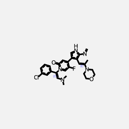 C=Nc1[nH]cc(-c2cc(=O)n(/C(=C\N(C)C)c3cccc(Cl)c3)cc2F)c1/C=C(\C)N1CCOCC1